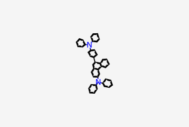 c1ccc(N(c2ccccc2)c2ccc(-c3cc4ccc(N(c5ccccc5)c5ccccc5)cc4c4ccccc34)cc2)cc1